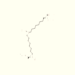 CCCCCCCCCCN(CCCCCCCCN(C)CCCCCCCC(=O)N(CCCCCCCCCC)CCCCCCCCCC)C(=O)CCCCCCCCC